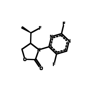 C[C@@H](F)C1COC(=O)N1c1nc(F)ncc1F